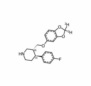 [2H]C1([2H])Oc2ccc(OC[C@H]3CNCC[C@@H]3c3ccc(F)cc3)cc2O1